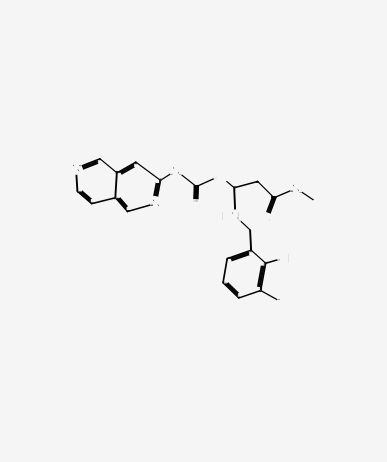 C[N]C(=O)CC(NCc1cccc(F)c1Cl)OC(=O)Nc1cc2cnccc2cn1